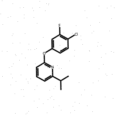 CC(C)c1cccc(Oc2ccc(Cl)c(F)c2)n1